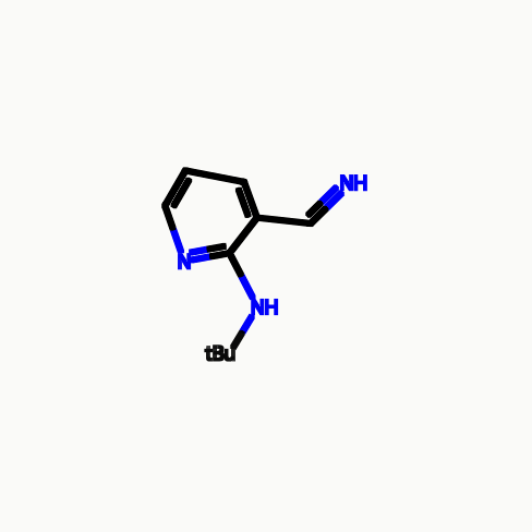 CC(C)(C)Nc1ncccc1C=N